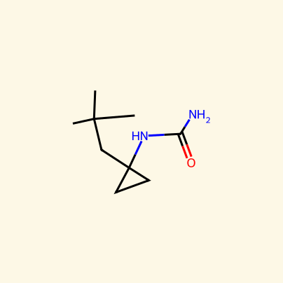 CC(C)(C)CC1(NC(N)=O)CC1